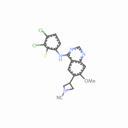 COc1cc2ncnc(Nc3ccc(Cl)c(Cl)c3F)c2cc1C1CN(C#N)C1